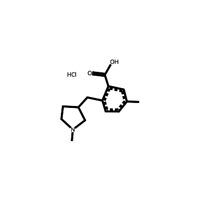 Cc1ccc(CC2CCN(C)C2)c(C(=O)O)c1.Cl